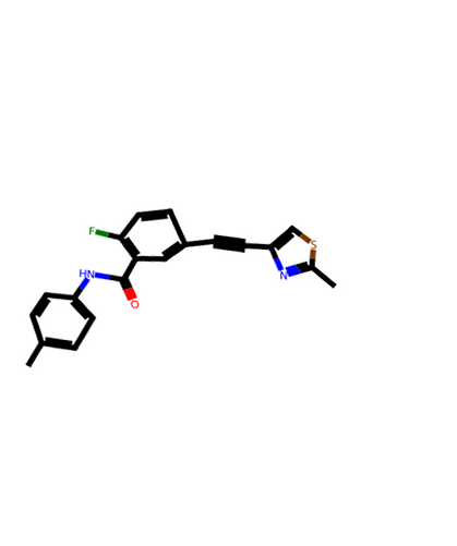 Cc1ccc(NC(=O)c2cc(C#Cc3csc(C)n3)ccc2F)cc1